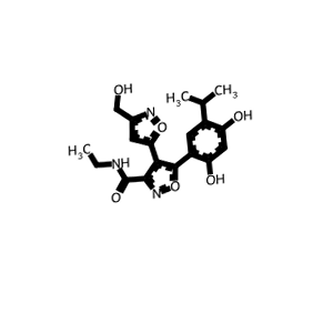 CCNC(=O)c1noc(-c2cc(C(C)C)c(O)cc2O)c1-c1cc(CO)no1